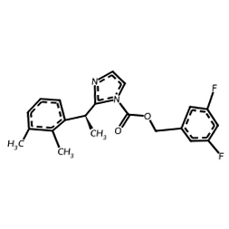 Cc1cccc([C@H](C)c2nccn2C(=O)OCc2cc(F)cc(F)c2)c1C